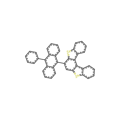 c1ccc(-c2c3ccccc3c(-c3cc4sc5ccccc5c4c4c3sc3ccccc34)c3ccccc23)cc1